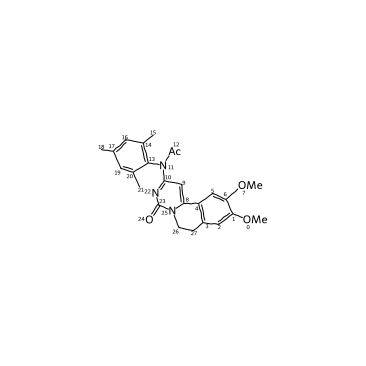 COc1cc2c(cc1OC)-c1cc(N(C(C)=O)c3c(C)cc(C)cc3C)nc(=O)n1CC2